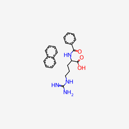 N=C(N)NCCCC(NC(=O)c1ccccc1)C(=O)O.c1ccc2ccccc2c1